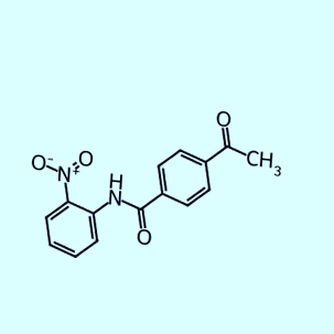 CC(=O)c1ccc(C(=O)Nc2ccccc2[N+](=O)[O-])cc1